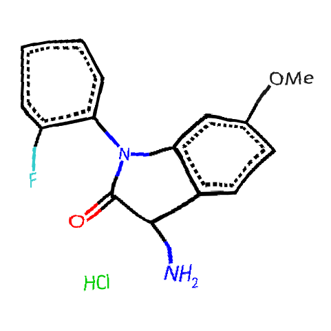 COc1ccc2c(c1)N(c1ccccc1F)C(=O)C2N.Cl